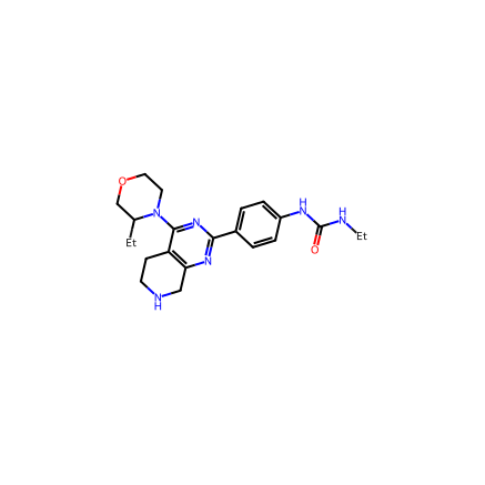 CCNC(=O)Nc1ccc(-c2nc3c(c(N4CCOCC4CC)n2)CCNC3)cc1